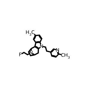 Cc1ccc2c(c1)c1c(n2CCc2ccc(C)nc2)CC2CCC1N2CCF